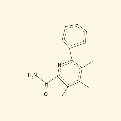 Cc1c(C(N)=O)nc(-c2ccccc2)c(C)c1C